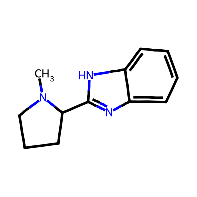 CN1CCCC1c1nc2ccccc2[nH]1